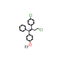 [CH2]COc1ccc(/C(=C(\CCCl)c2ccc(Cl)cc2)c2ccccc2)cc1